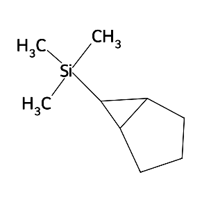 C[Si](C)(C)C1C2CCCC21